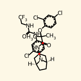 CC(C)(Oc1ccc(Cl)cc1Cl)C(=O)N[C@H]1C[C@H]2CC[C@@H](C1)N2c1ccc(NC(=O)NCC(F)(F)F)cc1Cl